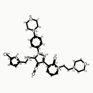 O=C=C1C(c2cccn(CCN3CCOCC3)c2=O)=NN(c2ccc(N3CCOCC3)cc2)C1NCc1ccc(Cl)s1